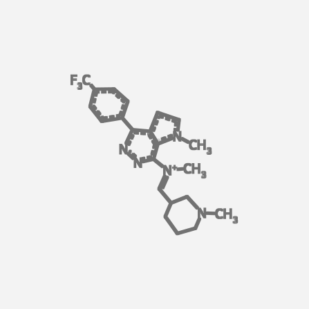 CN1CCCC(/C=[N+](\C)c2nnc(-c3ccc(C(F)(F)F)cc3)c3ccn(C)c23)C1